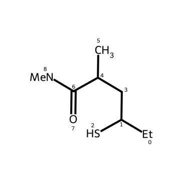 CCC(S)CC(C)C(=O)NC